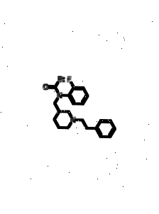 CCC(=O)N(CC1CCCN(CCc2ccccc2)C1)c1ccccc1F